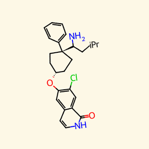 CC(C)CC(N)[C@]1(c2ccccc2)CC[C@@H](Oc2cc3cc[nH]c(=O)c3cc2Cl)CC1